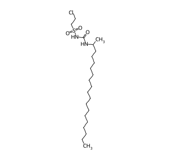 CCCCCCCCCCCCCCCCCC(C)NC(=O)NS(=O)(=O)CCCl